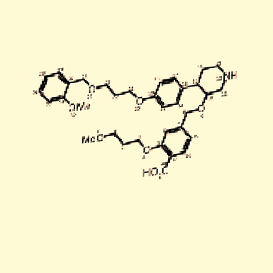 COCCCOc1cc(COC2CNCCC2c2ccc(OCCCOCc3ccccc3OC)cc2)ccc1C(=O)O